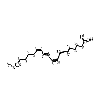 CCCCC\C=C/C=C/C=C\CCCCCCC(=O)O